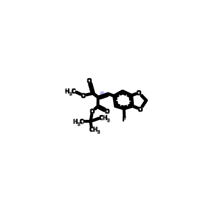 COC(=O)/C(=C/c1cc(F)c2c(c1)OCO2)C(=O)OC(C)(C)C